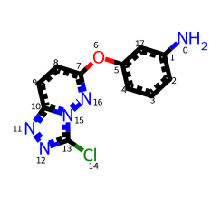 Nc1cccc(Oc2ccc3nnc(Cl)n3n2)c1